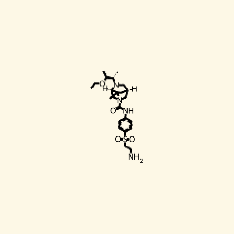 CCOC(C)[C@H](C)N1C[C@H]2CN(C(=O)Nc3ccc(S(=O)(=O)CCN)cc3)C[C@@H]1C(C)(C)C2